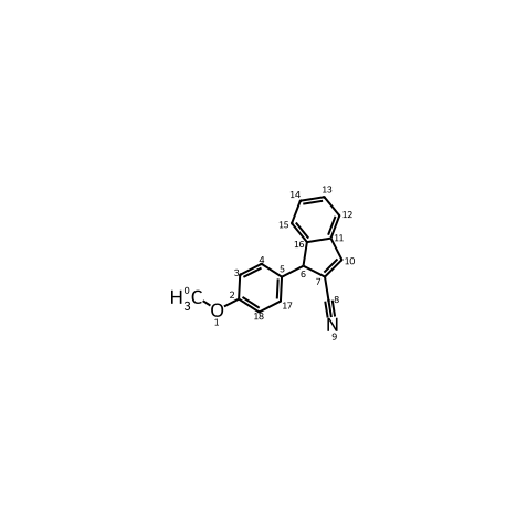 COc1ccc(C2C(C#N)=Cc3ccccc32)cc1